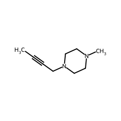 CC#CCN1CCN(C)CC1